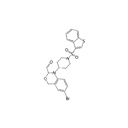 O=CC1OCc2cc(Br)ccc2N1C1CCN(S(=O)(=O)c2csc3ccccc23)CC1